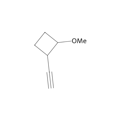 C#CC1CCC1OC